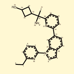 CCc1cncc(-n2ncc3ccc(-c4cccc(C(N)(I)C5CC(O)C5)n4)cc32)n1